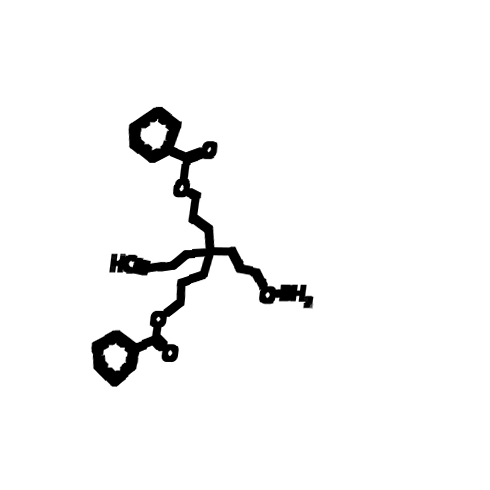 BOCCCC(CCC#C)(CCCOC(=O)c1ccccc1)CCCOC(=O)c1ccccc1